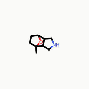 CC12CCC(O1)C1CN[C]C12